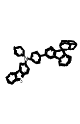 c1ccc(N(c2ccc(-c3ccc4c(c3)-c3ccccc3C43C4CC5CC(C4)CC3C5)cc2)c2ccc3sc4ccccc4c3c2)cc1